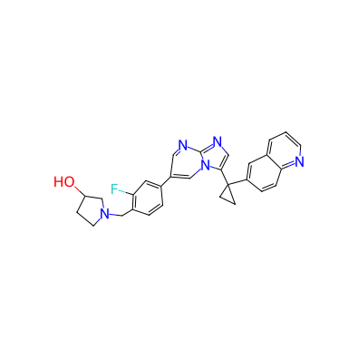 OC1CCN(Cc2ccc(-c3cnc4ncc(C5(c6ccc7ncccc7c6)CC5)n4c3)cc2F)C1